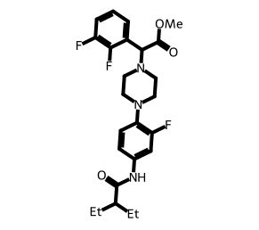 CCC(CC)C(=O)Nc1ccc(N2CCN(C(C(=O)OC)c3cccc(F)c3F)CC2)c(F)c1